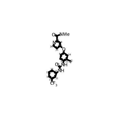 CNC(=O)c1cc(Oc2ccc(NC(=O)Nc3cccc(C(F)(F)F)c3)c(F)c2)ccn1